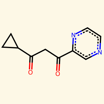 O=C(CC(=O)C1CC1)c1cnccn1